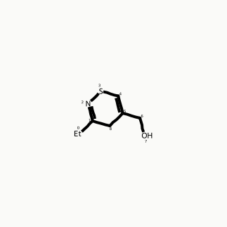 CCC1=NSC=C(CO)C1